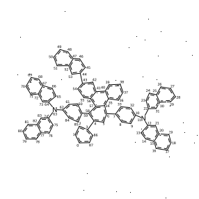 c1ccc(-c2cc(-c3ccc(N(c4ccc5ccccc5c4)c4ccc5ccccc5c4)cc3)c3c4ccccc4c4cc(-c5ccc6ccccc6c5)ccc4c3c2-c2ccc(N(c3ccc4ccccc4c3)c3ccc4ccccc4c3)cc2)cc1